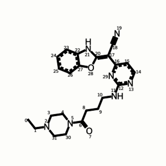 CCN1CCN(C(=O)CCCNc2nccc(C(C#N)=C3Nc4ccccc4O3)n2)CC1